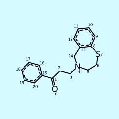 O=C(CCN1CCSc2ccccc2C1)c1ccccc1